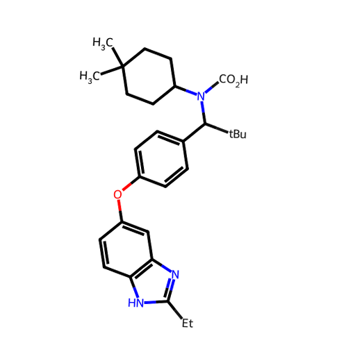 CCc1nc2cc(Oc3ccc(C(N(C(=O)O)C4CCC(C)(C)CC4)C(C)(C)C)cc3)ccc2[nH]1